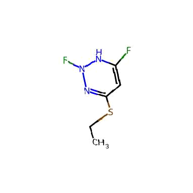 CCSC1=NN(F)NC(F)=C1